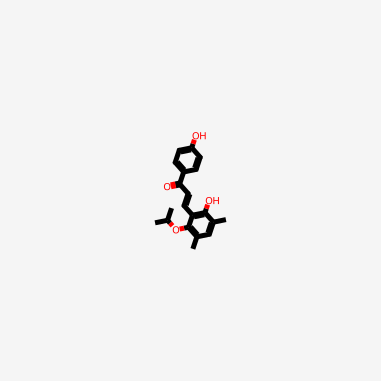 Cc1cc(C)c(OC(C)C)c(/C=C/C(=O)c2ccc(O)cc2)c1O